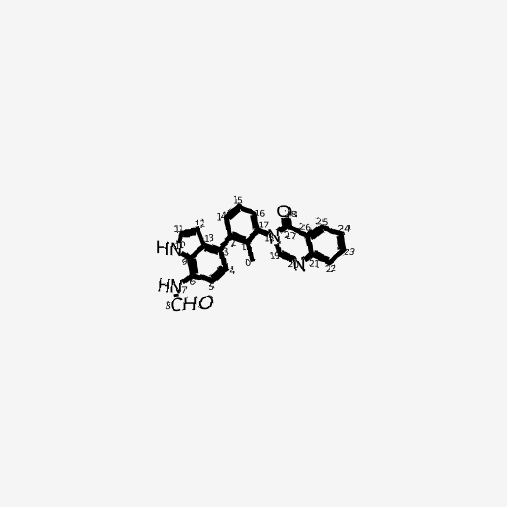 Cc1c(-c2ccc(NC=O)c3[nH]ccc23)cccc1-n1cnc2ccccc2c1=O